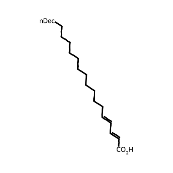 CCCCCCCCCCCCCCCCCCCCCC=CC=CC(=O)O